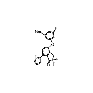 N#Cc1cc(F)cc(Oc2ccc(-c3ccco3)c3c2CC(F)(F)C3=O)c1